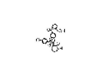 O=C1NCCCC[C@H]1N(Cc1ccc(C(=O)N2CCC[C@H]2CO)cc1)S(=O)(=O)c1ccc(Cl)cc1